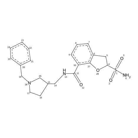 NS(=O)(=O)C1Cc2cccc(C(=O)NCC3CCN(Cc4ccccc4)C3)c2O1